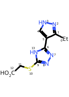 CCc1n[nH]cc1-c1nnc(SCC(=O)O)[nH]1